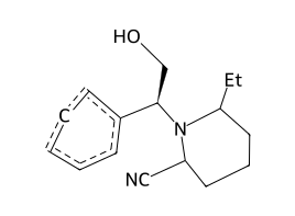 CCC1CCCC(C#N)N1[C@H](CO)c1ccccc1